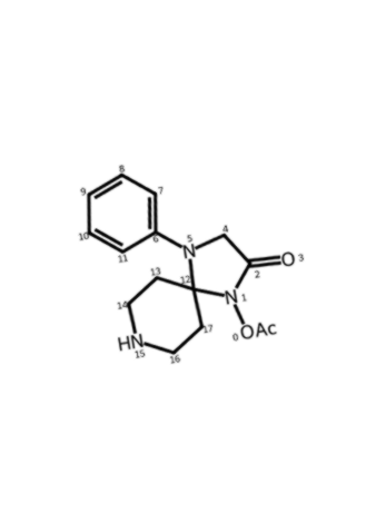 CC(=O)ON1C(=O)CN(c2ccccc2)C12CCNCC2